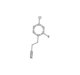 N#CCCc1ccc(Cl)cc1F